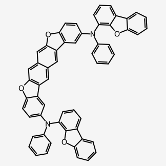 c1ccc(N(c2ccc3oc4cc5cc6oc7ccc(N(c8ccccc8)c8cccc9c8oc8ccccc89)cc7c6cc5cc4c3c2)c2cccc3c2oc2ccccc23)cc1